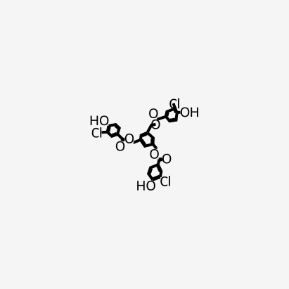 O=C(OCc1cc(COC(=O)c2ccc(O)c(Cl)c2)cc(COC(=O)c2ccc(O)c(Cl)c2)c1)c1ccc(O)c(Cl)c1